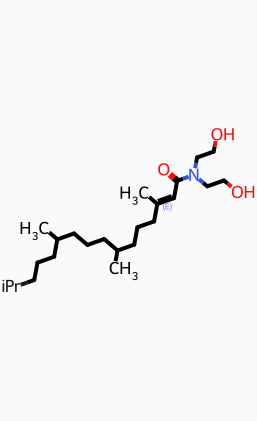 C/C(=C\C(=O)N(CCO)CCO)CCCC(C)CCCC(C)CCCC(C)C